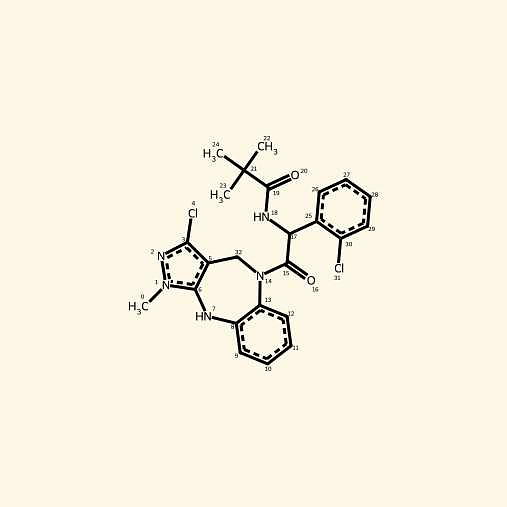 Cn1nc(Cl)c2c1Nc1ccccc1N(C(=O)C(NC(=O)C(C)(C)C)c1ccccc1Cl)C2